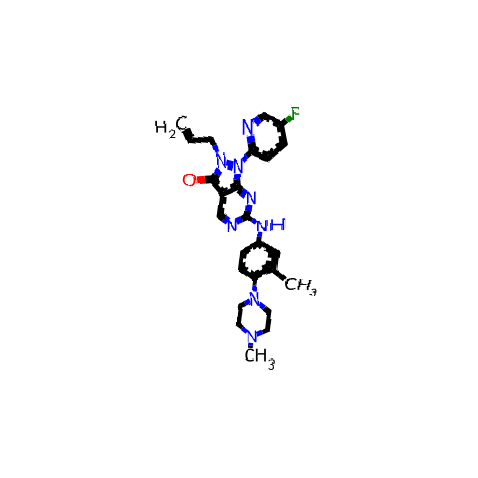 C=CCn1c(=O)c2cnc(Nc3ccc(N4CCN(C)CC4)c(C)c3)nc2n1-c1ccc(F)cn1